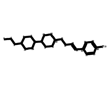 CCCC1CCC(C2CCC(CCC=Cc3ccc(F)cc3)CC2)CC1